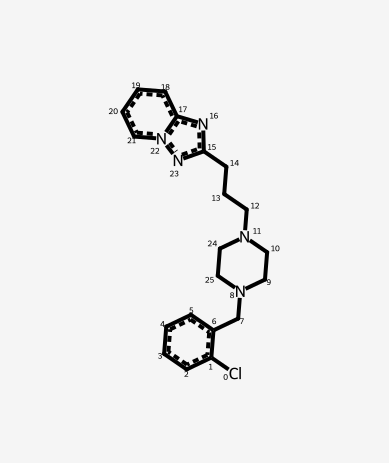 Clc1ccccc1CN1CCN(CCCc2nc3ccccn3n2)CC1